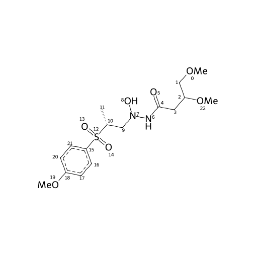 COCC(CC(=O)NN(O)C[C@@H](C)S(=O)(=O)c1ccc(OC)cc1)OC